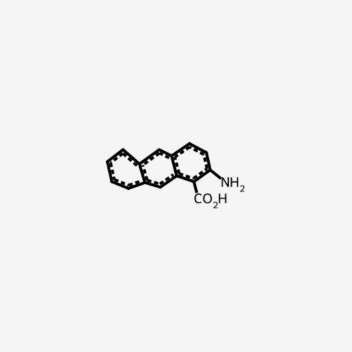 Nc1ccc2cc3ccccc3cc2c1C(=O)O